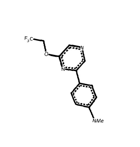 CNc1ccc(-c2cncc(OCC(F)(F)F)n2)cc1